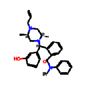 C=CCN1C[C@H](C)N([C@H](c2cccc(O)c2)c2ccccc2C(=O)N(c2ccccc2)C(C)C)C[C@H]1C